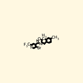 Cc1ccc(CC2CON=C(c3cc(C(F)(F)F)ncc3Br)N2)c(C)c1